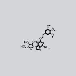 COc1cc(CCOc2nc(N)c3ncn([C@@H]4O[C@H](CO)C(O)C4O)c3n2)cc(OC)c1OC